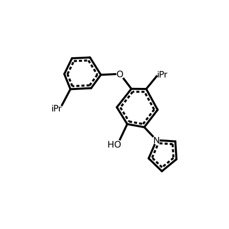 CC(C)c1cccc(Oc2cc(O)c(-n3cccc3)cc2C(C)C)c1